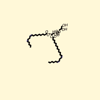 CCCC/C=C\C/C=C\CCCCCCCC(=O)OC[C@H](COP(=O)(O)OC[C@@H](O)CO)OC(=O)CCCCCCCCCCC/C=C\C/C=C\CCCCC